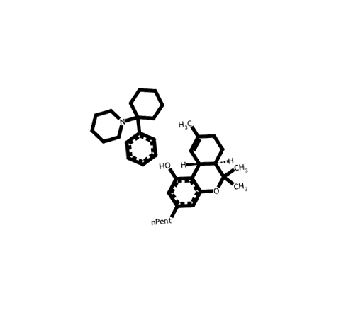 CCCCCc1cc(O)c2c(c1)OC(C)(C)[C@@H]1CCC(C)=C[C@@H]21.c1ccc(C2(N3CCCCC3)CCCCC2)cc1